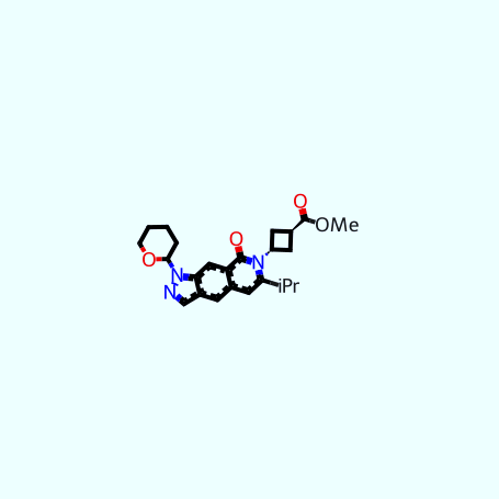 COC(=O)[C@H]1C[C@H](n2c(C(C)C)cc3cc4cnn(C5CCCCO5)c4cc3c2=O)C1